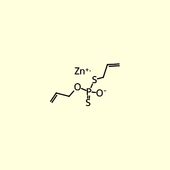 C=CCOP([O-])(=S)SCC=C.[Zn+]